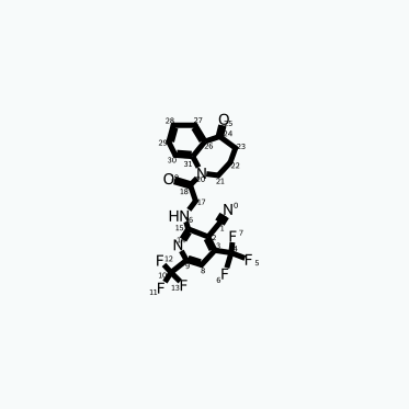 N#Cc1c(C(F)(F)F)cc(C(F)(F)F)nc1NCC(=O)N1CCCC(=O)c2ccccc21